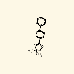 CC1(C)COC(c2ccc(-c3ccccc3)cc2)=N1